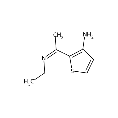 CC/N=C(/C)c1sccc1N